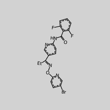 CC/C(=N\Oc1ccc(Br)cn1)c1ccc(NC(=O)c2c(F)cccc2F)nc1